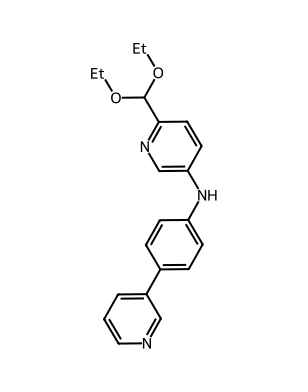 CCOC(OCC)c1ccc(Nc2ccc(-c3cccnc3)cc2)cn1